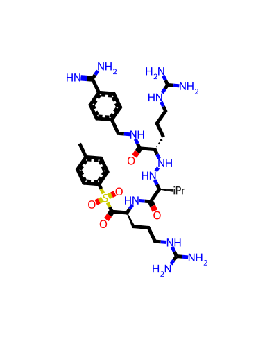 Cc1ccc(S(=O)(=O)C(=O)[C@H](CCCNC(N)N)NC(=O)[C@@H](NN[C@@H](CCCNC(N)N)C(=O)NCc2ccc(C(=N)N)cc2)C(C)C)cc1